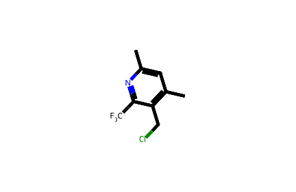 Cc1cc(C)c(CCl)c(C(F)(F)F)n1